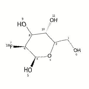 OCC1O[C@@H](O)[C@@H]([18F])C(O)[C@@H]1O